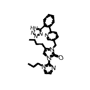 CCCCc1cn(-c2nccn2CCC)c(=O)n1Cc1ccc(-c2ccccc2-c2nnn[nH]2)nc1